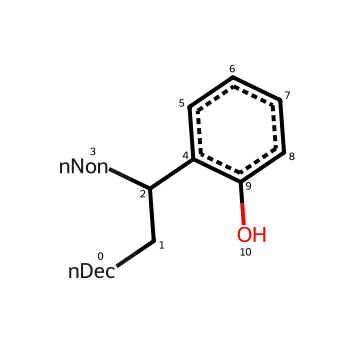 CCCCCCCCCCCC(CCCCCCCCC)c1ccccc1O